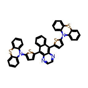 c1ccc2c(c1)Sc1ccccc1N2c1ccc(-c2c3ccccc3c(-c3ccc(N4c5ccccc5Sc5ccccc54)s3)c3nccnc23)s1